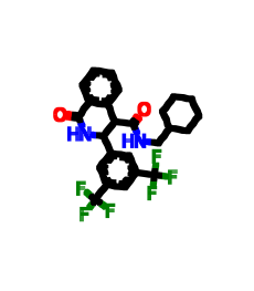 O=C1NC(c2cc(C(F)(F)F)cc(C(F)(F)F)c2)C(C(=O)NCC2CCCCC2)c2ccccc21